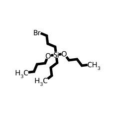 CCCCO[Si](CCCC)(CCCBr)OCCCC